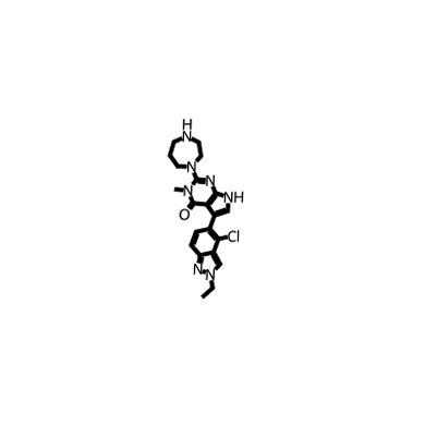 CCn1cc2c(Cl)c(-c3c[nH]c4nc(N5CCCNCC5)n(C)c(=O)c34)ccc2n1